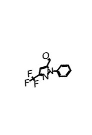 O=Cc1cc(C(F)(F)F)nn1-c1ccccc1